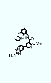 COc1ncc(-c2ccn3nc(N)nc3c2)cc1C(=O)NCc1cc(F)cc(F)c1O[C@H]1CCOC1